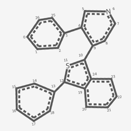 c1ccc(-c2cnccc2-c2sc(-c3ccccc3)c3ccccc23)cc1